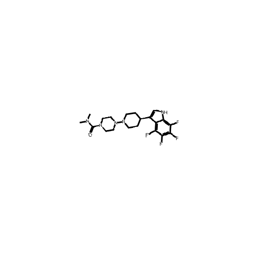 CN(C)C(=O)N1CCN(N2CCC(c3c[nH]c4c(F)c(F)c(F)c(F)c34)CC2)CC1